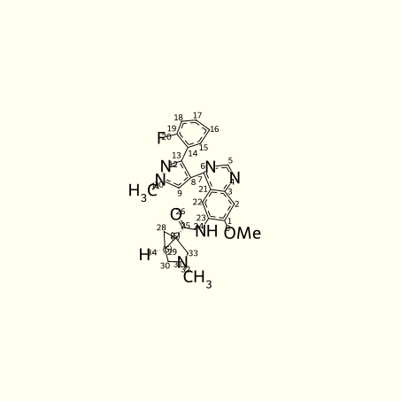 COc1cc2ncnc(-c3cn(C)nc3-c3ccccc3F)c2cc1NC(=O)[C@@]12C[C@@H]1CN(C)C2